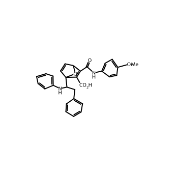 COc1ccc(NC(=O)C2=C(C(=O)O)C3(C(Cc4ccccc4)Nc4ccccc4)C=CC2O3)cc1